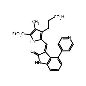 CCOC(=O)c1[nH]c(/C=C2\C(=O)Nc3cccc(-c4ccncc4)c32)c(CCC(=O)O)c1C